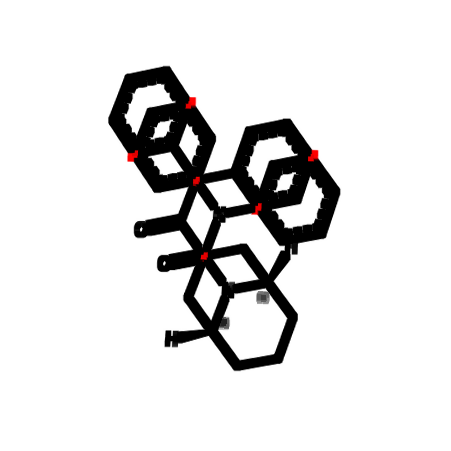 O=C(N1C[C@H]2CCC[C@@H](C1)N2C(=O)N(c1ccccc1)c1ccccc1)N(c1ccccc1)c1ccccc1